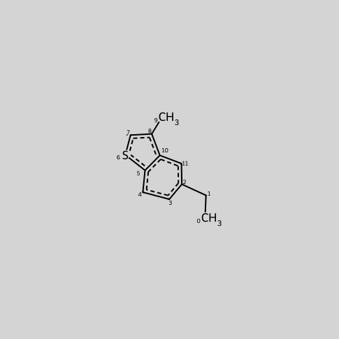 CCc1ccc2s[c]c(C)c2c1